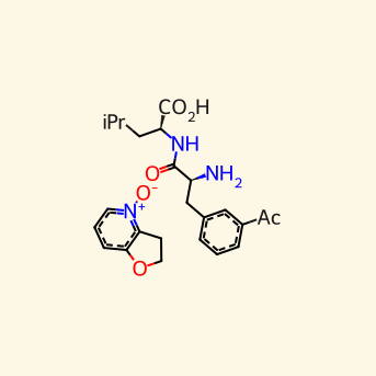 CC(=O)c1cccc(C[C@H](N)C(=O)N[C@@H](CC(C)C)C(=O)O)c1.[O-][n+]1cccc2c1CCO2